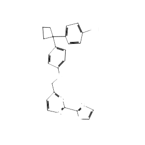 Cc1ccc(C2(c3ccc(OCc4ccnc(-c5ncco5)n4)cc3)CCC2)cc1